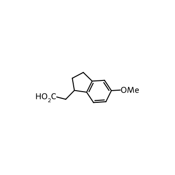 COc1ccc2c(c1)CCC2CC(=O)O